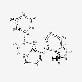 CC(Cc1cccc(-c2cccc3cc[nH]c23)n1)C(C)c1ccccn1